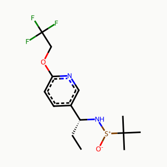 CC[C@@H](N[S+]([O-])C(C)(C)C)c1ccc(OCC(F)(F)F)nc1